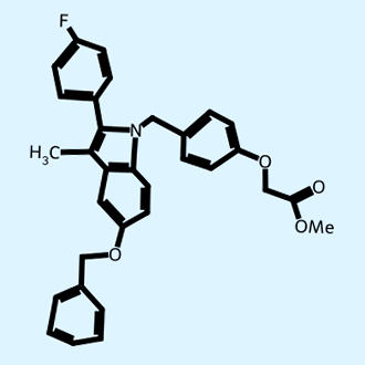 COC(=O)COc1ccc(Cn2c(-c3ccc(F)cc3)c(C)c3cc(OCc4ccccc4)ccc32)cc1